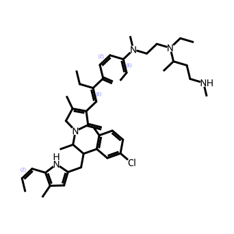 C=C(/C=C\C(=C/C)N(C)CCN(CC)C(C)CCNC)/C(=C/C1=C(C)CN(C(C)C(Cc2cc(C)c(/C=C\C)[nH]2)c2cc(Cl)ccc2C)C1=C)CC